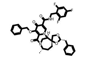 C[C@H]1CC[C@]2(CO[C@H](Cc3ccccc3)O2)[C@H]2CN1C(=O)c1c(OCc3ccccc3)c(=O)c(C(=O)NCc3c(F)cc(F)cc3F)cn12